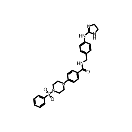 O=C(NCc1ccc(NC2=NCCN2)cc1)c1ccc(N2CCN(S(=O)(=O)c3ccccc3)CC2)cc1